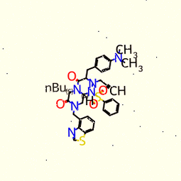 C#CCN1C(Cc2ccc(N(C)C)cc2)C(=O)N2[C@@H](CCCC)C(=O)N(Cc3cccc4scnc34)C[C@@H]2N1S(=O)(=O)c1ccccc1